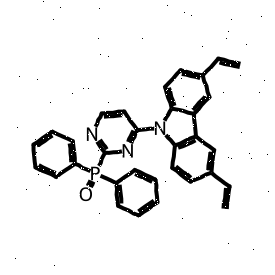 C=Cc1ccc2c(c1)c1cc(C=C)ccc1n2-c1ccnc(P(=O)(c2ccccc2)c2ccccc2)n1